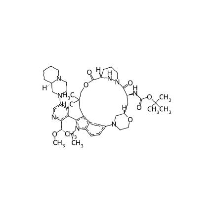 CCn1c(-c2cc(N3CCN4CCCC[C@@H]4C3)cnc2[C@H](C)OC)c2c3cc(ccc31)N1CCO[C@@H](C[C@H](NC(=O)OC(C)(C)C)C(=O)N3CCC[C@H](N3)C(=O)OCC(C)(C)C2)C1